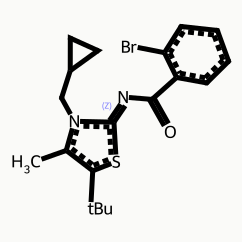 Cc1c(C(C)(C)C)s/c(=N\C(=O)c2ccccc2Br)n1CC1CC1